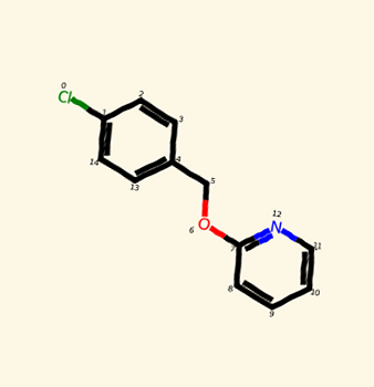 Clc1ccc(COc2ccc[c]n2)cc1